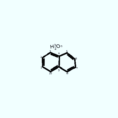 [2OH2].c1ccc2ccccc2c1